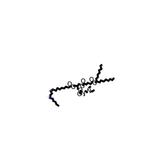 CCCCC/C=C\C/C=C\CCCCCCCC(=O)OCC(COC(=O)CCCC(=O)OC(CCCCCCCC)CCCCCCCC)COC(=O)N(C)CCN(CC)CC